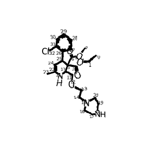 CCOC(=O)C1(C(=O)OC)C(COCCN2CCNCC2)NC(C)=CC1c1ccccc1Cl